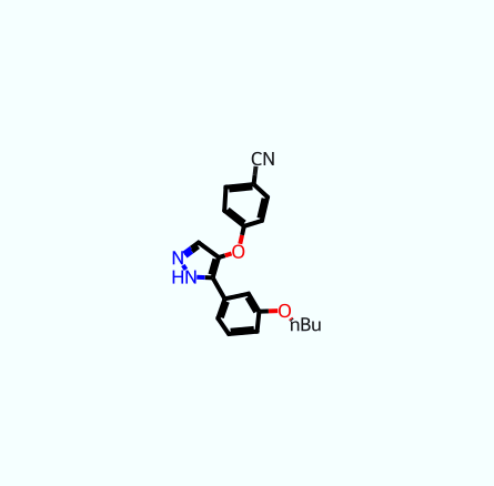 CCCCOc1cccc(-c2[nH]ncc2Oc2ccc(C#N)cc2)c1